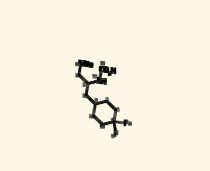 CNCC(CC1CCC(F)(F)CC1)NC(=O)O